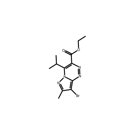 CCOC(=O)c1nnc2c(Br)c(C)nn2c1C(C)C